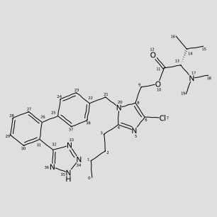 CCCCc1nc(Cl)c(COC(=O)[C@H](C(C)C)N(C)C)n1Cc1ccc(-c2ccccc2-c2nn[nH]n2)cc1